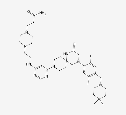 CC1(C)CCN(Cc2cc(F)c(N3CC(=O)NC4(CCN(c5cc(NCCN6CCN(CCC(N)=O)CC6)ncn5)CC4)C3)cc2F)CC1